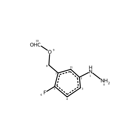 NNc1ccc(F)c(COC=O)c1